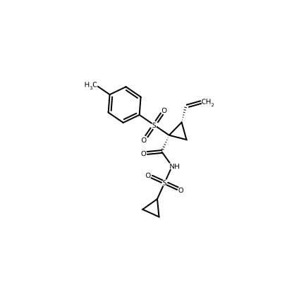 C=C[C@@H]1C[C@@]1(C(=O)NS(=O)(=O)C1CC1)S(=O)(=O)c1ccc(C)cc1